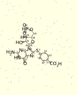 Nc1nc2c(nc(Sc3ccc(C(=O)O)cc3)n2[C@@H]2OC3CO[PH](=O)O[C@H]3C2O)c(=O)[nH]1